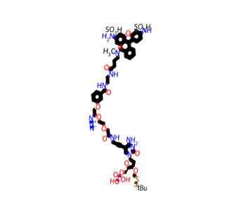 CN(CCCC(=O)NCCNC(=O)c1cccc(OCC(N=[N+]=[N-])OCCOCC(=O)NCC#Cc2cn([C@H]3CC(OCSSC(C)(C)C)[C@@H](COP(=O)(O)O)O3)c(=O)nc2N)c1)C(=O)c1ccccc1-c1c2ccc(=N)c(S(=O)(=O)O)c-2oc2c(S(=O)(=O)O)c(N)ccc12